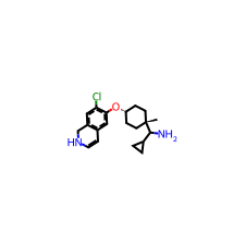 C[C@]1(C(N)C2CC2)CC[C@@H](Oc2cc3c(cc2Cl)CNC=C3)CC1